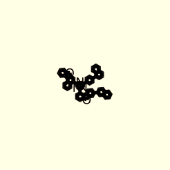 c1ccc2cc(-c3ccc4c(c3)oc3cccc(-c5nc(-c6ccc(-c7cccc8ccccc78)cc6)nc(-c6cc7oc8ccccc8c7c7ccccc67)n5)c34)ccc2c1